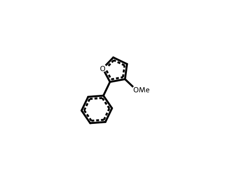 COc1ccoc1-c1ccccc1